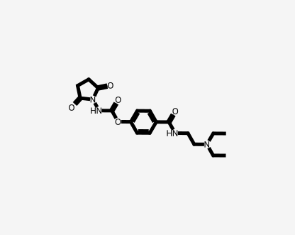 CCN(CC)CCNC(=O)c1ccc(OC(=O)NN2C(=O)CCC2=O)cc1